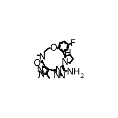 Cc1c2c(nn1C)C(=O)N(C)CCOc1ccc(F)cc1[C@H]1CCCN1c1nc-2nnc1N